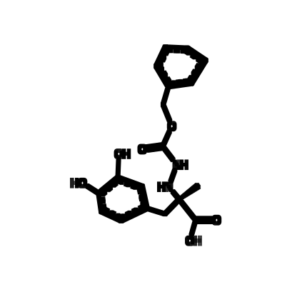 C[C@@](Cc1ccc(O)c(O)c1)(NNC(=O)OCc1ccccc1)C(=O)O